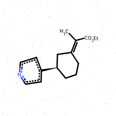 CCOC(=O)/C(C)=C1\CCC[C@@H](c2ccncc2)C1